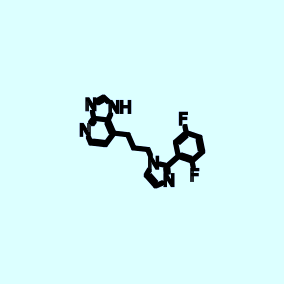 Fc1ccc(F)c(-c2nccn2CCCc2ccnc3nc[nH]c23)c1